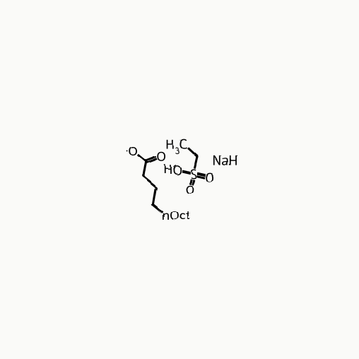 CCCCCCCCCCCC([O])=O.CCS(=O)(=O)O.[NaH]